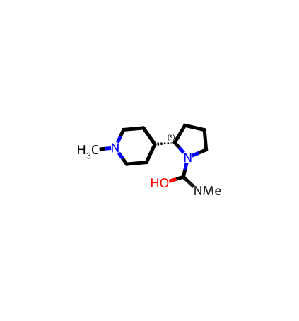 CNC(O)N1CCC[C@H]1C1CCN(C)CC1